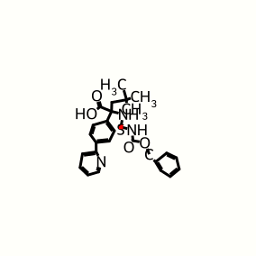 CC(C)(C)CC(NC(=S)NC(=O)OCc1ccccc1)(C(=O)O)c1ccc(-c2ccccn2)cc1